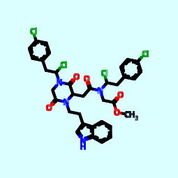 COC(=O)CN(C(=O)CC1C(=O)N(C(Cl)Cc2ccc(Cl)cc2)CC(=O)N1CCc1c[nH]c2ccccc12)C(Cl)Cc1ccc(Cl)cc1